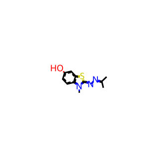 CC(C)=N/N=c1\sc2cc(O)ccc2n1C